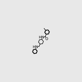 Cc1cccc(C(=O)NC2CCC(CNc3ccccc3)CC2)c1